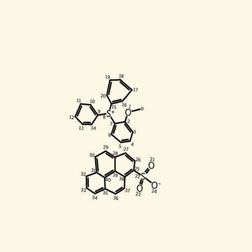 COc1ccccc1[S+](c1ccccc1)c1ccccc1.O=S(=O)([O-])c1ccc2ccc3cccc4ccc1c2c34